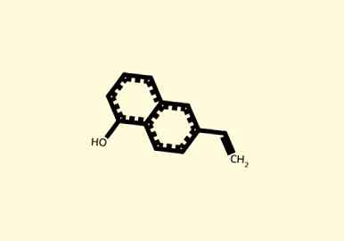 C=Cc1ccc2c(O)cccc2c1